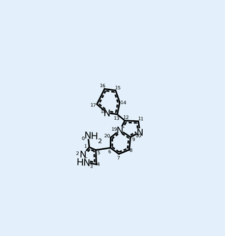 Nc1n[nH]cc1-c1ccc2ncc(-c3ccccn3)n2c1